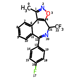 Cc1noc2c1-c1ccccc1C(c1ccc(F)cc1)=NC2C(F)(F)F